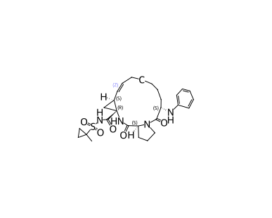 CC1(S(=O)(=O)NC(=O)[C@@]23C[C@H]2/C=C\CCCCC[C@H](Nc2ccccc2)C(=O)N2CCC[C@H]2C(=O)N3)CC1